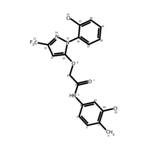 Cc1ccc(NC(=O)COc2cc(C(F)(F)F)nn2-c2ccccc2Cl)cc1Cl